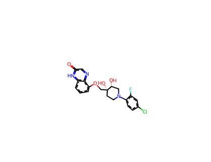 O=c1cnc2c(OC[C@]3(O)CCN(c4ccc(Cl)cc4F)C[C@H]3O)cccc2[nH]1